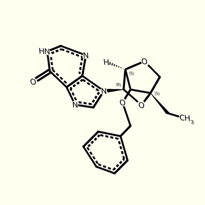 CC[C@]12CO[C@@H](C1OCc1ccccc1)[C@H](n1cnc3c(=O)[nH]cnc31)O2